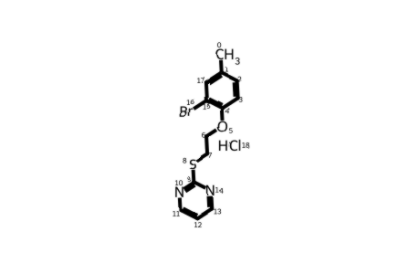 Cc1ccc(OCCSc2ncccn2)c(Br)c1.Cl